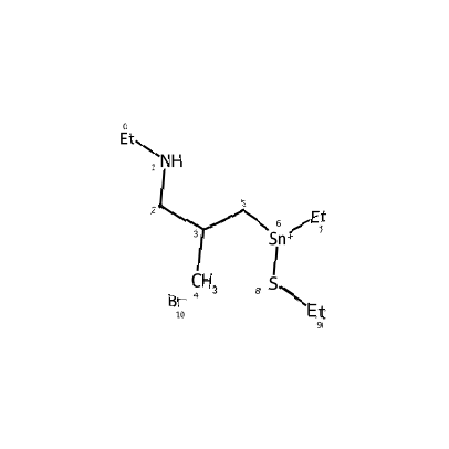 CCNCC(C)[CH2][Sn+]([CH2]C)[S]CC.[Br-]